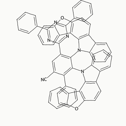 N#Cc1cc(-c2nc(-c3ccccc3)nc(-c3ccccc3)n2)c(-n2c3ccccc3c3ccc4oc5ccccc5c4c32)c(-n2c3ccccc3c3ccc4oc5ccccc5c4c32)c1-c1ccccc1